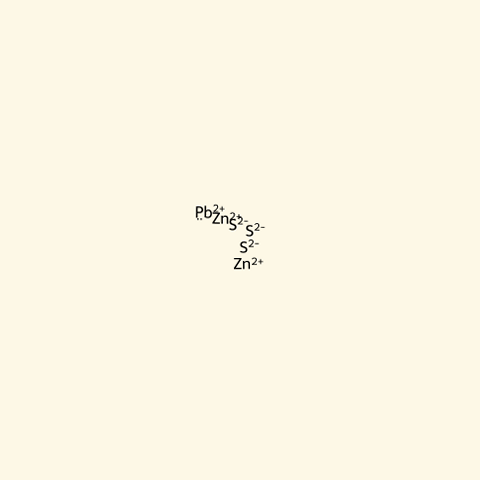 [Pb+2].[S-2].[S-2].[S-2].[Zn+2].[Zn+2]